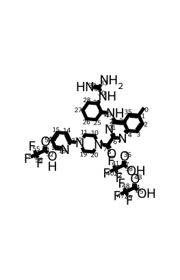 Cc1ccc2nc(C(=O)N3CCN(c4ccccn4)CC3)nc(NC3CCCCC3NC(=N)N)c2c1.O=C(O)C(F)(F)F.O=C(O)C(F)(F)F.O=C(O)C(F)(F)F